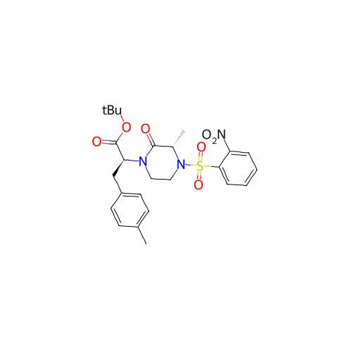 Cc1ccc(C[C@@H](C(=O)OC(C)(C)C)N2CCN(S(=O)(=O)c3ccccc3[N+](=O)[O-])[C@@H](C)C2=O)cc1